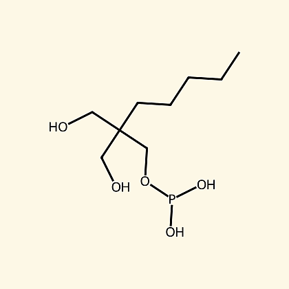 CCCCCC(CO)(CO)COP(O)O